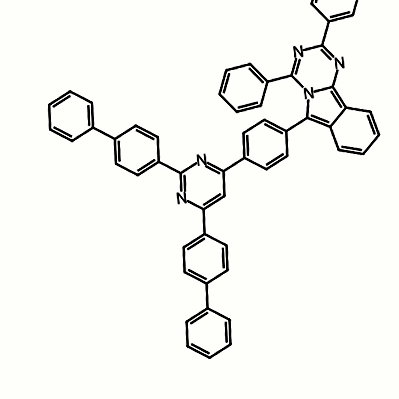 c1ccc(-c2ccc(-c3cc(-c4ccc(-c5c6ccccc6c6nc(-c7ccccc7)nc(-c7ccccc7)n56)cc4)nc(-c4ccc(-c5ccccc5)cc4)n3)cc2)cc1